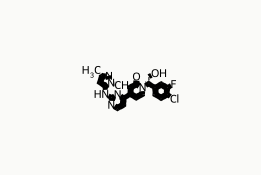 Cc1cc(Nc2nccc(-c3ccn([C@H](CO)c4ccc(Cl)c(F)c4)c(=O)c3)n2)n(C)n1